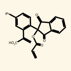 C=CC(=O)OC1(c2ccc(C(C)C)cc2C(=C)C(=O)O)C(=O)c2ccccc2C1=O